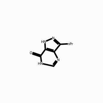 CCCc1n[nH]c2c(=O)[nH]cnc12